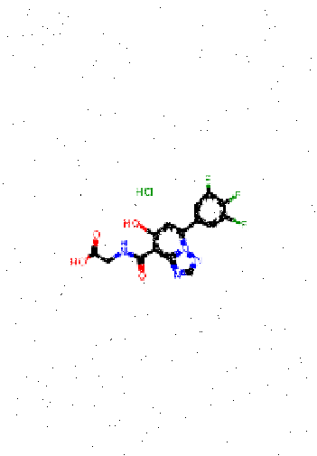 Cl.O=C(O)CNC(=O)c1c(O)cc(-c2cc(F)c(F)c(F)c2)n2ncnc12